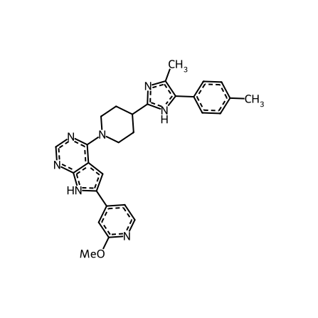 COc1cc(-c2cc3c(N4CCC(c5nc(C)c(-c6ccc(C)cc6)[nH]5)CC4)ncnc3[nH]2)ccn1